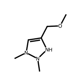 COCC1=CN(C)N(C)N1